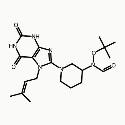 CC(C)=CCn1c(N2CCCC(N(C=O)OC(C)(C)C)C2)nc2[nH]c(=O)[nH]c(=O)c21